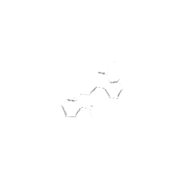 O=[N+]([O-])c1ccccc1[CH]/C=C/c1ccccc1[N+](=O)[O-]